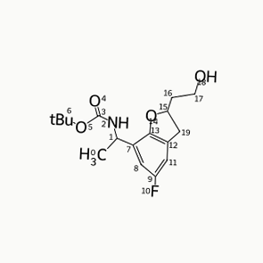 CC(NC(=O)OC(C)(C)C)c1cc(F)cc2c1OC(CCO)C2